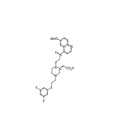 COc1ccc2nccc([C@H](F)CC[C@@H]3CCN(CCSc4cc(F)cc(F)c4)C[C@@H]3CC(=O)O)c2c1